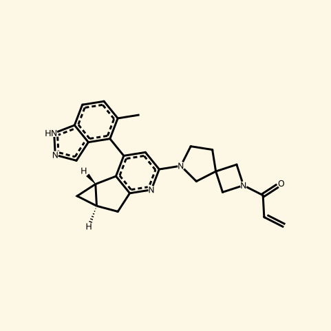 C=CC(=O)N1CC2(CCN(c3cc(-c4c(C)ccc5[nH]ncc45)c4c(n3)C[C@H]3C[C@H]43)C2)C1